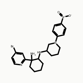 NC1(c2cc(Br)ccn2)CCCCC1NC1CCCN(c2ccc([N+](=O)[O-])cc2)C1